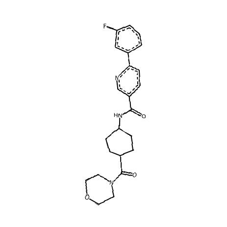 O=C(NC1CCC(C(=O)N2CCOCC2)CC1)c1ccc(-c2cccc(F)c2)nc1